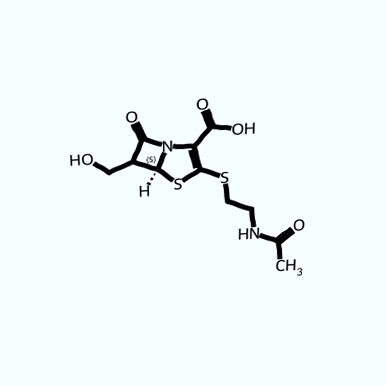 CC(=O)NCCSC1=C(C(=O)O)N2C(=O)C(CO)[C@@H]2S1